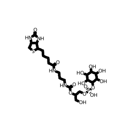 O=C(CCCCC1SCC2NC(=O)NC21)NCCCNC(=O)OC(CO)COP(=O)(O)OC1C(O)C(O)C(O)C(O)C1O